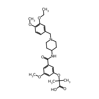 CCOc1cc(CN2CCC(NC(=O)c3cc(OC)cc(OC(C)(C)C(=O)O)c3)CC2)ccc1OC